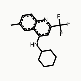 Cc1ccc2nc(C(F)(F)F)cc(NC3CCCCC3)c2c1